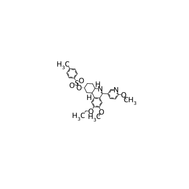 CCOc1cc2c(cc1OC)C(c1ccc(OC)nc1)=N[C@@H]1CC[C@@H](OS(=O)(=O)c3ccc(C)cc3)C[C@H]21